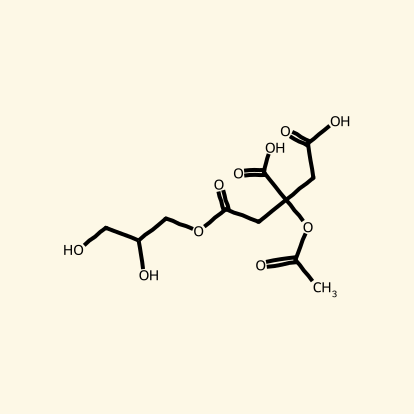 CC(=O)OC(CC(=O)O)(CC(=O)OCC(O)CO)C(=O)O